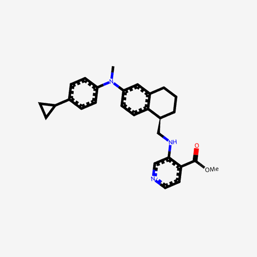 COC(=O)c1ccncc1NC[C@@H]1CCCc2cc(N(C)c3ccc(C4CC4)cc3)ccc21